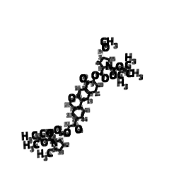 COC[C@H]1CC(C(=O)OC2CCc3cc4c(cc3C2=O)OCc2cc(C(=O)COC(=O)[C@@H]3CC[C@H](C)N3C(=O)OC(C)(C)C)ccc2-4)N(C(=O)OC(C)(C)C)C1